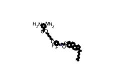 CC(C)=CCCCC(C)C1CCC2C3CC=C4C(C)(C)C(OC(=O)/C=C/c5ccc(OCCCCCCOC(=O)c6cc(N)cc(N)c6)c(F)c5F)CCC4(C)C3CCC12C